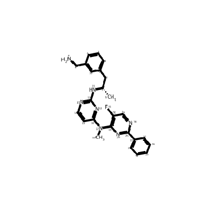 C[C@@H](Cc1cccc(CN)c1)Nc1nccc(N(C)c2nc(-c3ccccc3)ncc2F)n1